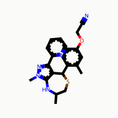 Cc1cc(OCC#N)ccc1C1SCC(C)Nc2c1c(-c1ccccn1)nn2C